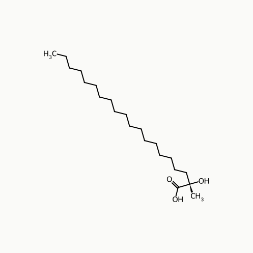 CCCCCCCCCCCCCCCCCC[C@](C)(O)C(=O)O